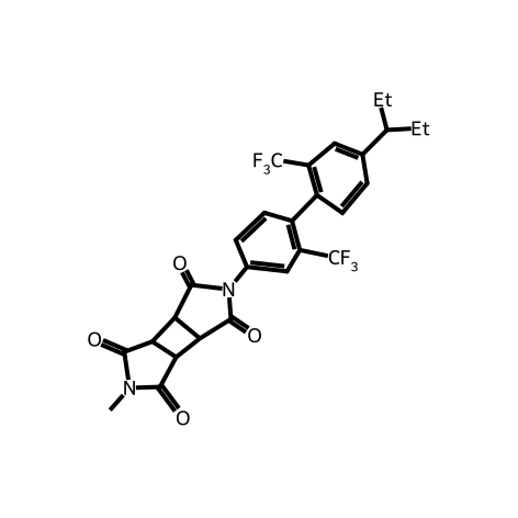 CCC(CC)c1ccc(-c2ccc(N3C(=O)C4C5C(=O)N(C)C(=O)C5C4C3=O)cc2C(F)(F)F)c(C(F)(F)F)c1